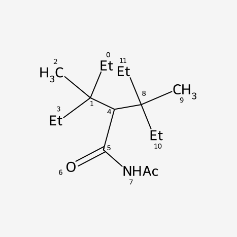 CCC(C)(CC)C(C(=O)NC(C)=O)C(C)(CC)CC